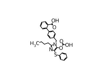 CCCCc1nc(Sc2ccccc2)c(OC(=O)O)n1Cc1ccc(-c2ccccc2C(=O)O)cc1